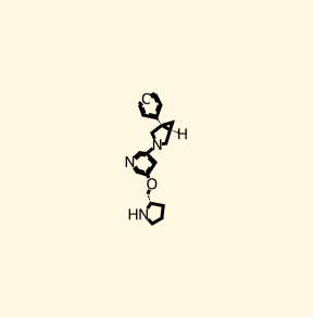 c1ccc([C@]23C[C@H]2CN(c2cncc(OC[C@@H]4CCCN4)c2)C3)cc1